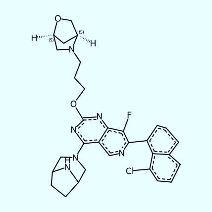 Fc1c(-c2cccc3cccc(Cl)c23)ncc2c(N3CC4CCC(C3)N4)nc(OCCCN3C[C@@H]4C[C@H]3CO4)nc12